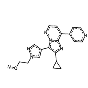 COCCn1cc(-c2c(C3CC3)nc3c(-c4ccncc4)ccnn23)cn1